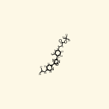 Cc1cc(CCC(=O)OC(C)(C)C)ccc1-c1noc(-c2ccc(CC(C)C)cn2)n1